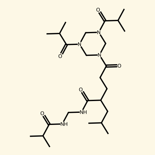 CC(C)CC(CCC(=O)N1CN(C(=O)C(C)C)CN(C(=O)C(C)C)C1)C(=O)NCNC(=O)C(C)C